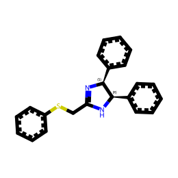 c1ccc(SCC2=N[C@@H](c3ccccc3)[C@@H](c3ccccc3)N2)cc1